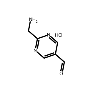 Cl.NCc1ncc(C=O)cn1